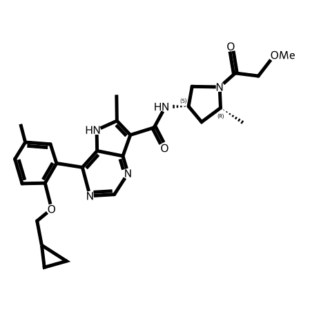 COCC(=O)N1C[C@@H](NC(=O)c2c(C)[nH]c3c(-c4cc(C)ccc4OCC4CC4)ncnc23)C[C@H]1C